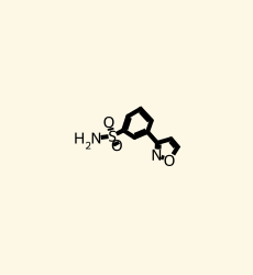 NS(=O)(=O)c1cccc(-c2ccon2)c1